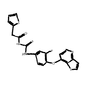 O=C(Cc1cccs1)NC(=S)Nc1ccc(Oc2ccnc3ccsc23)c(F)c1